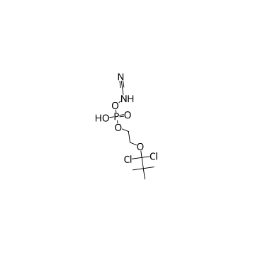 CC(C)(C)C(Cl)(Cl)OCCOP(=O)(O)ONC#N